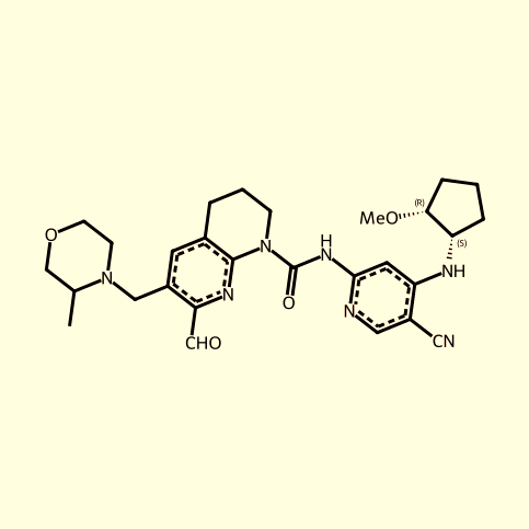 CO[C@@H]1CCC[C@@H]1Nc1cc(NC(=O)N2CCCc3cc(CN4CCOCC4C)c(C=O)nc32)ncc1C#N